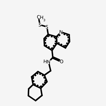 CSSc1ccc(C(=O)NCc2ccc3c(c2)CCCC3)c2cccnc12